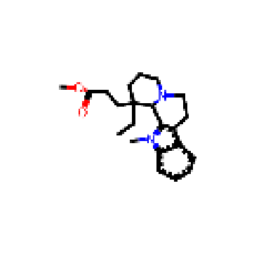 CCC1(CCC(=O)OC)CCCN2CCc3c(n(C)c4ccccc34)C21